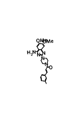 COc1cc2nc(N3CCN(C(=O)/C=C/c4cccc(C)c4)CC3)nc(N)c2cc1OC